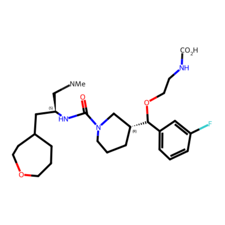 CNC[C@H](CC1CCCOCC1)NC(=O)N1CCC[C@@H](C(OCCNC(=O)O)c2cccc(F)c2)C1